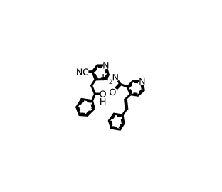 N#Cc1cnccc1CC(O)c1ccccc1.NC(=O)c1cnccc1C=Cc1ccccc1